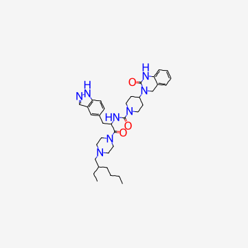 CCCCC(CC)CN1CCN(C(=O)C(Cc2ccc3[nH]ncc3c2)NC(=O)N2CCC(N3Cc4ccccc4NC3=O)CC2)CC1